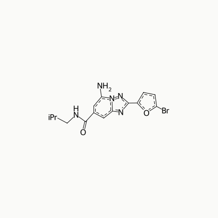 CC(C)CNC(=O)c1cc(N)n2nc(-c3ccc(Br)o3)nc2c1